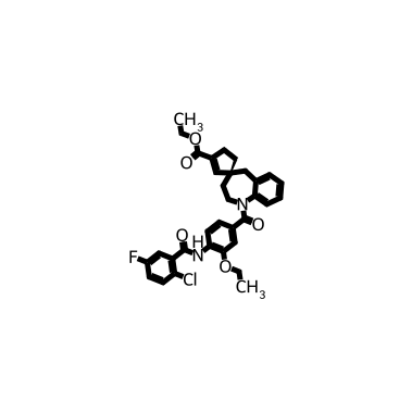 CCOC(=O)C1=C[C@@]2(CC1)CCN(C(=O)c1ccc(NC(=O)c3cc(F)ccc3Cl)c(OCC)c1)c1ccccc1C2